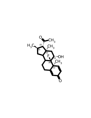 CC(=O)[C@H]1[C@H](C)CC2C3CCC4=CC(=O)C=C[C@]4(C)[C@@]3(F)[C@@H](O)C[C@@]21C